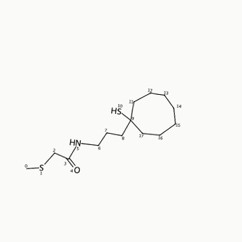 CSCC(=O)NCCCC1(S)CCCCCCC1